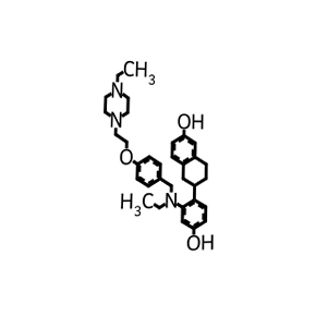 CCN1CCN(CCOc2ccc(CN(CC)c3cc(O)ccc3C3CCc4cc(O)ccc4C3)cc2)CC1